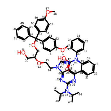 COc1ccc(C(OCC(CO)OCCn2cnc3c(-c4ccccc4N(C(=O)O)c4ccccc4)nc(N(C(C)C)C(C)C)nc32)(c2ccccc2)c2ccc(OC)cc2)cc1